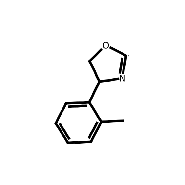 Cc1ccccc1C1CO[C]=N1